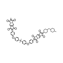 CC1CCC(CC2CCC(N3C(=O)C4C5C=CC(C6C(=O)N(c7ccc(Oc8ccc(C(C)(C)c9ccc(Oc%10ccc(N%11C(=O)C%12C%13C=CC(C%14C(=O)N(C)C(=O)C%13%14)C%12C%11=O)cc%10)cc9)cc8)cc7)C(=O)C56)C4C3=O)CC2)CC1